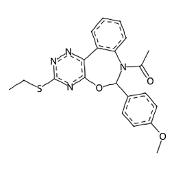 CCSc1nnc2c(n1)OC(c1ccc(OC)cc1)N(C(C)=O)c1ccccc1-2